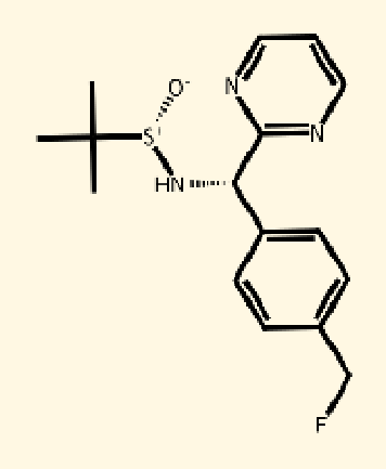 CC(C)(C)[S@+]([O-])N[C@@H](c1ccc(CF)cc1)c1ncccn1